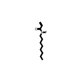 C=CC(=O)N(F)CCCCCCCC